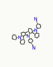 N#Cc1ccc(-n2c3c(ccc4c3c3ccccc3n4-c3ccccc3)c3ccc4c(c5ccccc5n4-c4cccc(C#N)c4)c32)cc1